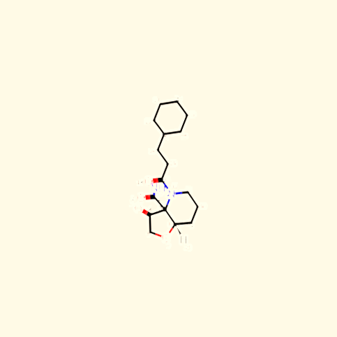 NC(=O)C12C(=O)CO[C@H]1CCCN2C(=O)[CH]CC1CCCCC1